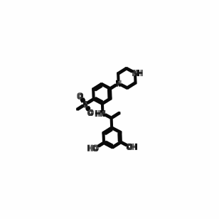 CC(Nc1cc(N2CCNCC2)ccc1S(C)(=O)=O)c1cc(O)cc(O)c1